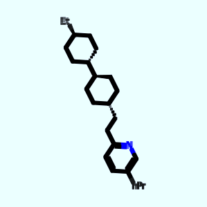 CCCc1ccc(CC[C@H]2CC[C@H]([C@H]3CC[C@H](CC)CC3)CC2)nc1